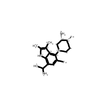 Cc1[nH]c2c(C(N)O)cc(F)c(N3CC[C@@H](F)[C@@H](N)C3)c2c1C